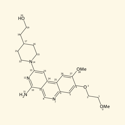 COCCOc1cc2ncc3c(N)nc(N4CCC(CCO)CC4)cc3c2cc1OC